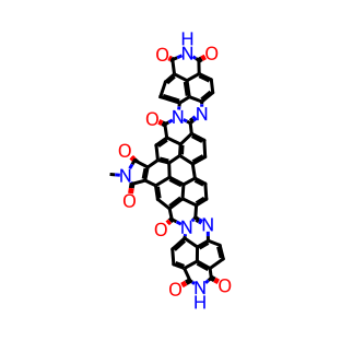 Cn1c(=O)c2c3cc4c(=O)n5c6ccc7c(=O)[nH]c(=O)c8ccc(nc5c5ccc9c%10ccc%11c%12c(cc(c2c1=O)c(c%10%12)c3c9c45)c(=O)n1c2ccc3c(=O)[nH]c(=O)c4ccc(nc%111)c2c43)c6c87